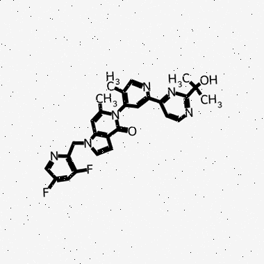 Cc1cnc(-c2ccnc(C(C)(C)O)n2)cc1-n1c(C)cc2c(ccn2Cc2ncc(F)cc2F)c1=O